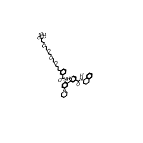 CC(C)(C)OC(=O)CCOCCOCCOCCOCCCc1cccc(C(=O)Nc2ccc(N3CCCCC3)cc2-c2cc(C(=O)N[C@H]3CCCc4ccccc43)ccn2)c1